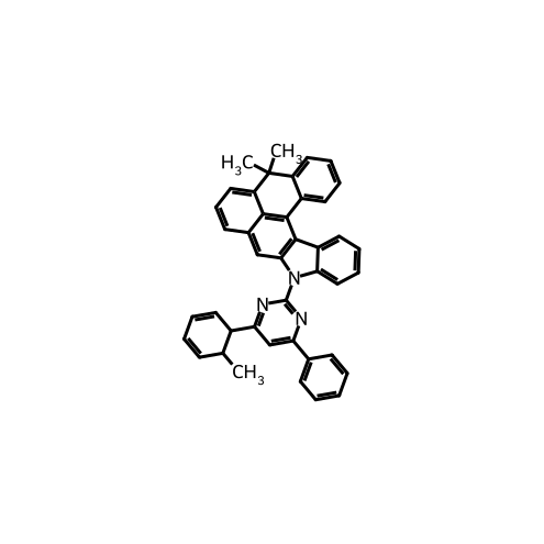 CC1C=CC=CC1c1cc(-c2ccccc2)nc(-n2c3ccccc3c3c4c5c(cccc5cc32)C(C)(C)c2ccccc2-4)n1